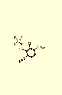 COc1ccc([N+]#N)c(Cl)c1Cl.F[B-](F)(F)F